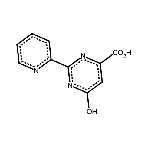 O=C(O)c1cc(O)nc(-c2ccccn2)n1